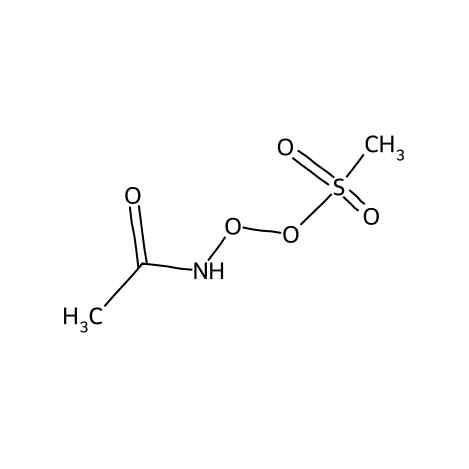 CC(=O)NOOS(C)(=O)=O